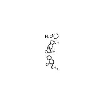 CN1CCCC[C@@H]1c1cc2cnc(NC(=O)c3ccc4c(=O)n(C)ccc4c3)cc2[nH]1